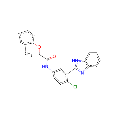 Cc1ccccc1OCC(=O)Nc1ccc(Cl)c(-c2nc3ccccc3[nH]2)c1